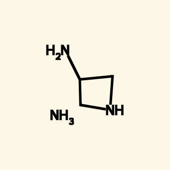 N.NC1CNC1